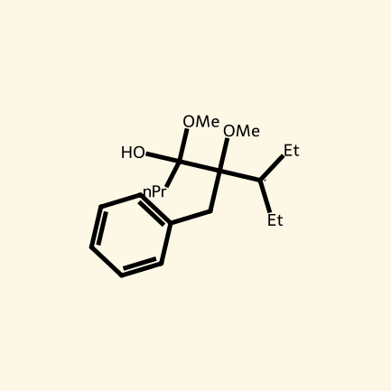 CCCC(O)(OC)C(Cc1ccccc1)(OC)[C](CC)CC